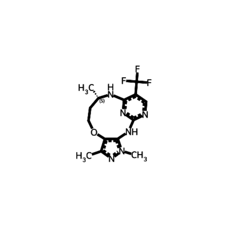 Cc1nn(C)c2c1OCC[C@H](C)Nc1nc(ncc1C(F)(F)F)N2